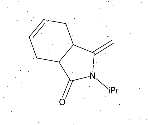 C=C1C2CC=CCC2C(=O)N1C(C)C